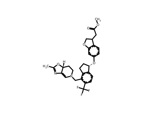 COC(=O)CC1COc2cc(O[C@H]3CCc4c3ccc(C(F)(F)F)c4CN3C=C4N=C(C)O[C@@H]4CC3)ccc21